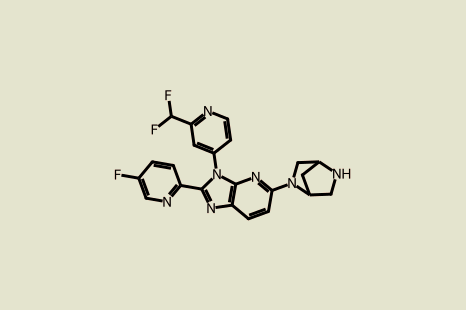 Fc1ccc(-c2nc3ccc(N4CC5CC4CN5)nc3n2-c2ccnc(C(F)F)c2)nc1